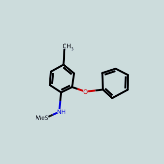 CSNc1ccc(C)cc1Oc1ccccc1